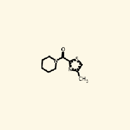 Cc1csc(C(=O)N2CCCCC2)n1